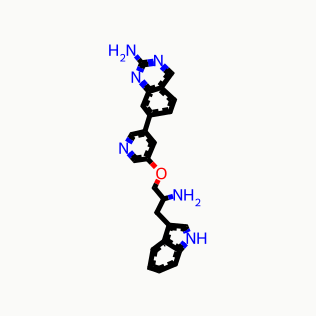 Nc1ncc2ccc(-c3cncc(OCC(N)Cc4c[nH]c5ccccc45)c3)cc2n1